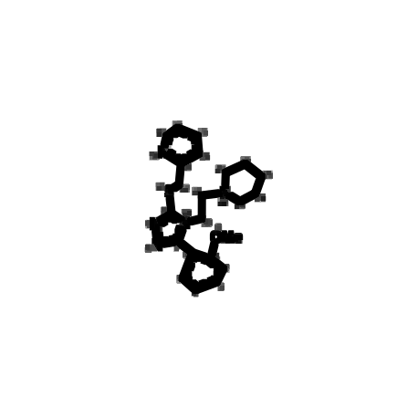 COc1ccccc1-c1nnc(SCc2ccccn2)n1CCN1CCCCC1